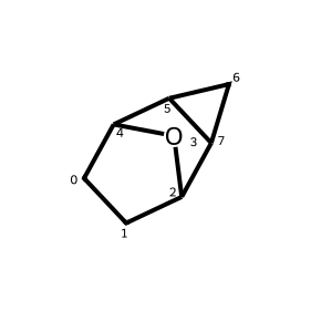 C1CC2OC1C1CC21